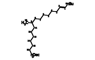 [CH2]CCCC=CCCCCCCC(C)CCCCCCCCCCCCCCC[CH2]